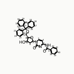 O=C(Nc1ccn([C@H]2C[C@H](O)[C@@H](COC(c3ccccc3)(c3ccccc3)c3ccccc3)O2)c(=O)n1)c1ccccc1